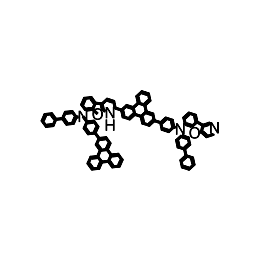 C1=CC(c2ccc3c4ccc(-c5ccc(N(c6ccc(-c7ccccc7)cc6)c6cccc7c6oc6ccncc67)cc5)cc4c4ccccc4c3c2)Nc2oc3c(N(c4ccc(-c5ccccc5)cc4)c4ccc(-c5ccc6c7ccccc7c7ccccc7c6c5)cc4)cccc3c21